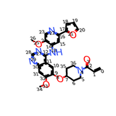 C=CC(=O)N1CCC(Oc2cc3c(Nc4cc(-c5ccco5)ncc4OC)ncnc3cc2OC)CC1